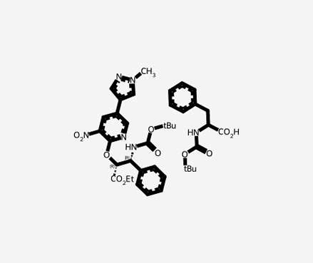 CC(C)(C)OC(=O)NC(Cc1ccccc1)C(=O)O.CCOC(=O)[C@H](Oc1ncc(-c2cnn(C)c2)cc1[N+](=O)[O-])[C@H](NC(=O)OC(C)(C)C)c1ccccc1